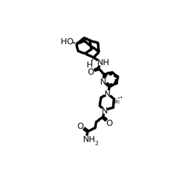 C[C@@H]1CN(C(=O)CCC(N)=O)CCN1c1cccc(C(=O)N[C@H]2C3CC4CC2C[C@](O)(C4)C3)n1